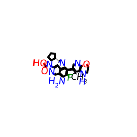 Cc1c(-c2cc3cc(N(C(=O)O)[C@@H]4CCC[C@@H]4C#N)ncc3c(N)c2F)cnc2c1NCCO2